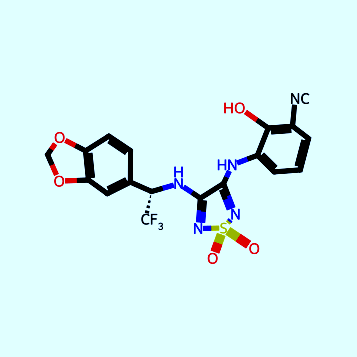 [C-]#[N+]c1cccc(NC2=NS(=O)(=O)N=C2N[C@@H](c2ccc3c(c2)OCO3)C(F)(F)F)c1O